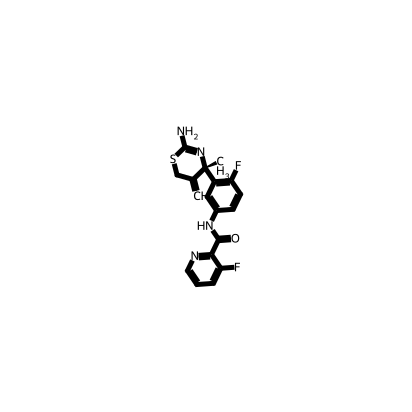 C=C1CSC(N)=N[C@]1(C)c1cc(NC(=O)c2ncccc2F)ccc1F